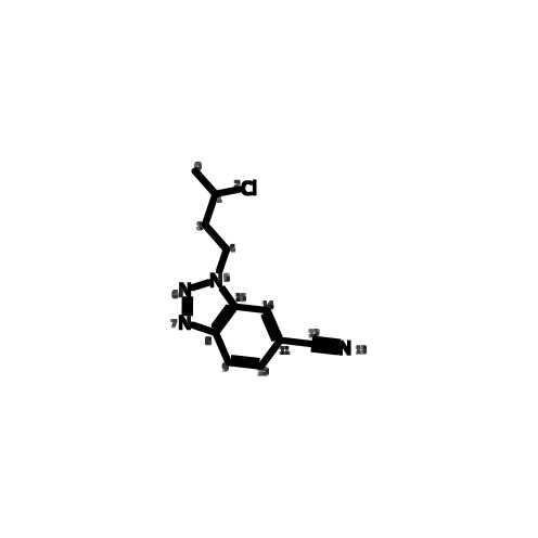 CC(Cl)CCn1nnc2ccc(C#N)cc21